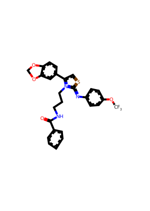 O=C(NCCCn1c(-c2ccc3c(c2)OCO3)cs/c1=N\c1ccc(OC(F)(F)F)cc1)c1ccccc1